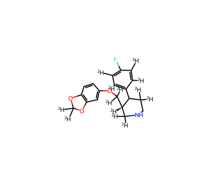 [2H]c1c([2H])c(C2C([2H])([2H])CNC([2H])([2H])[C@]2([2H])C([2H])([2H])Oc2ccc3c(c2)OC([2H])([2H])O3)c([2H])c([2H])c1F